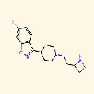 Fc1ccc2c(C3CCN(CCC4CCN4)CC3)noc2c1